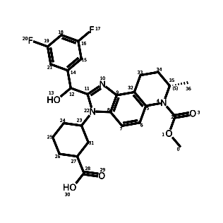 COC(=O)N1c2ccc3c(nc(C(O)c4cc(F)cc(F)c4)n3C3CCCC(C(=O)O)C3)c2CC[C@@H]1C